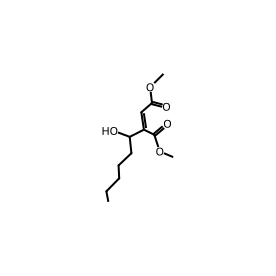 CCCCCC(O)/C(=C/C(=O)OC)C(=O)OC